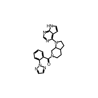 O=C(c1ccccc1-n1nccn1)N1CCC2CCN(c3ncnc4[nH]ccc34)C2C1